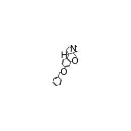 CN1CC[C@H]2c3ccc(OCc4ccccc4)cc3OC[C@]21C